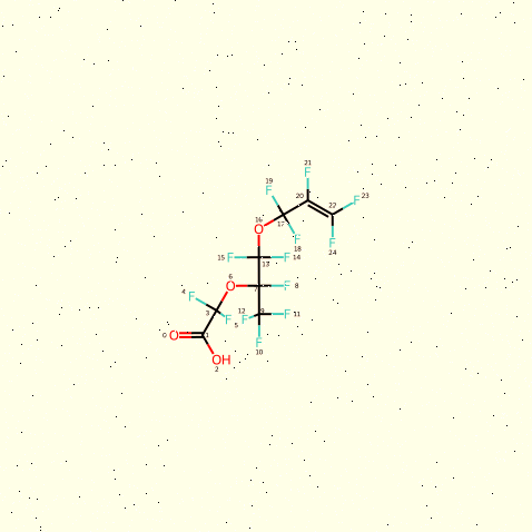 O=C(O)C(F)(F)OC(F)(C(F)(F)F)C(F)(F)OC(F)(F)C(F)=C(F)F